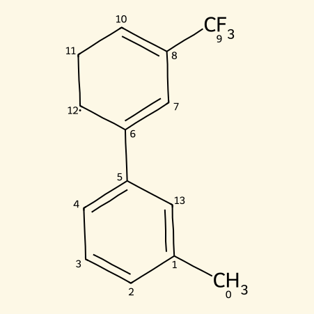 Cc1cccc(C2=CC(C(F)(F)F)=CC[CH]2)c1